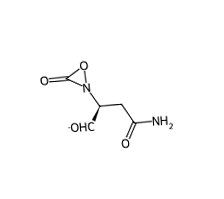 NC(=O)C[C@@H]([C]=O)N1OC1=O